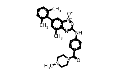 Cc1cccc(C)c1-c1cc(C)c2nc(Nc3ccc(C(=O)N4CCN(C)CC4)cc3)n[n+]([O-])c2c1